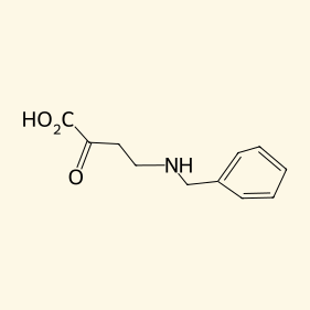 O=C(O)C(=O)CCNCc1ccccc1